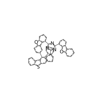 c1ccc(-c2nc(-c3cccc4c3oc3ccccc34)nc(-c3cccc4oc5ccc(-c6c(-c7ccccc7)ccc7sc8ccccc8c67)cc5c34)n2)cc1